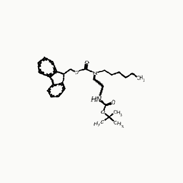 CCCCCCN(CCNC(=O)OC(C)(C)C)C(=O)OCC1c2ccccc2-c2ccccc21